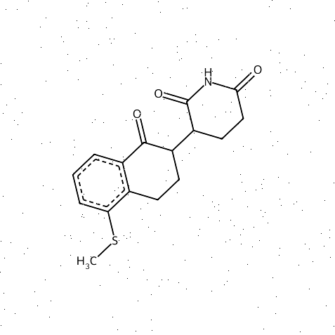 CSc1cccc2c1CCC(C1CCC(=O)NC1=O)C2=O